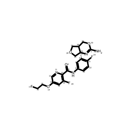 NC1=N[C@@]2(c3cc(NC(=O)c4ncc(OCCF)cc4F)ccc3F)COCC2CO1